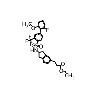 CCOC(=O)CCc1ccc2c(c1)CC(NS(=O)(=O)c1ccc(-c3c(F)cccc3OC)cc1C(F)(F)F)C2